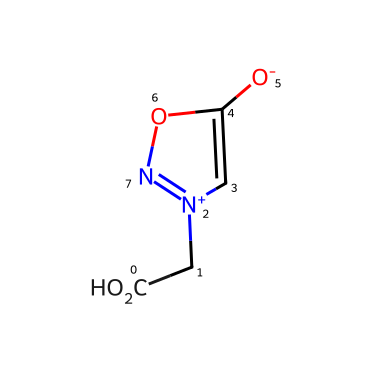 O=C(O)C[n+]1cc([O-])on1